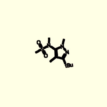 Cc1c(C(C)(C)C)nn(C)c1N(C)S(C)(=O)=O